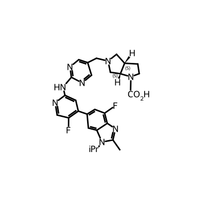 Cc1nc2c(F)cc(-c3cc(Nc4ncc(CN5C[C@@H]6CCN(C(=O)O)[C@@H]6C5)cn4)ncc3F)cc2n1C(C)C